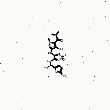 CN(C)C(=O)c1c(O)c(NC2=NS(=O)(=O)N=C2N[C@@H](c2ccc(N)o2)C(C)(C)C)nn1C